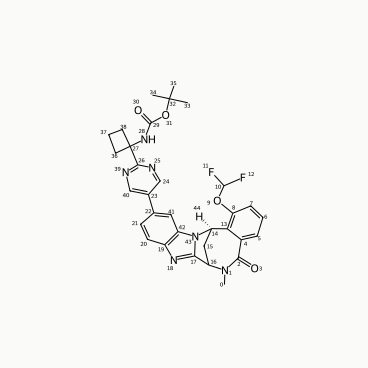 CN1C(=O)c2cccc(OC(F)F)c2[C@H]2CC1c1nc3ccc(-c4cnc(C5(NC(=O)OC(C)(C)C)CCC5)nc4)cc3n12